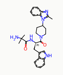 Cc1nc2ccccc2n1C1CCN(C(=O)[C@@H](Cc2c[nH]c3ccccc23)NC(=O)C(C)(C)N)CC1